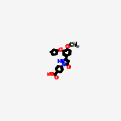 COc1ccc(-c2cc(=O)n(-c3ccc(C(=O)O)cc3)[nH]2)cc1OC1CCCC1